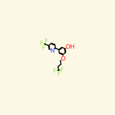 Oc1cc(OCCCC(F)(F)F)cc(-c2ccc(C(F)(F)F)cn2)c1